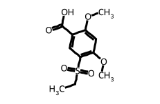 CCS(=O)(=O)c1cc(C(=O)O)c(OC)cc1OC